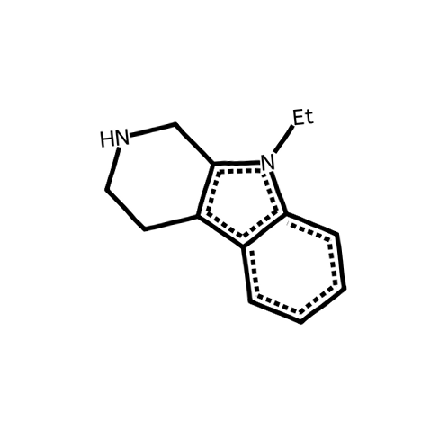 CCn1c2c(c3ccccc31)CCNC2